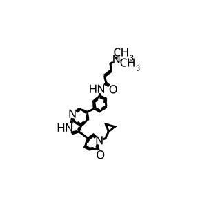 CN(C)CC=CC(=O)Nc1cccc(-c2cnc3[nH]cc(-c4ccc(=O)n(CC5CC5)c4)c3c2)c1